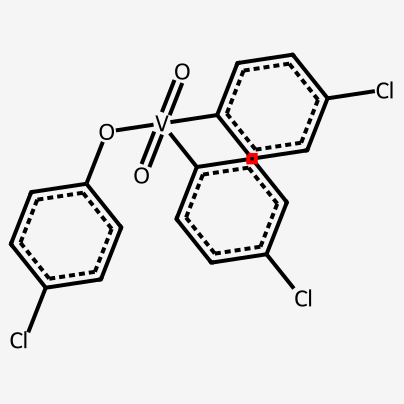 [O]=[V](=[O])([O]c1ccc(Cl)cc1)([c]1ccc(Cl)cc1)[c]1ccc(Cl)cc1